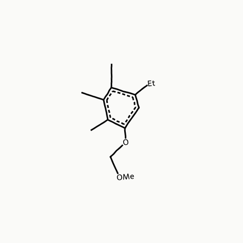 CCc1cc(OCOC)c(C)c(C)c1C